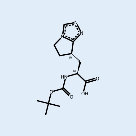 CC(C)(C)OC(=O)N[C@@H](C[C@@H]1CCn2cnnc21)C(=O)O